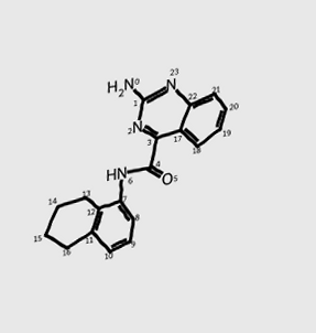 Nc1nc(C(=O)Nc2cccc3c2CCCC3)c2ccccc2n1